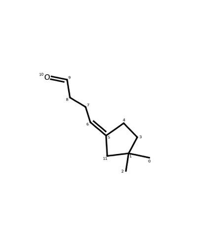 CC1(C)CC/C(=C\CCC=O)C1